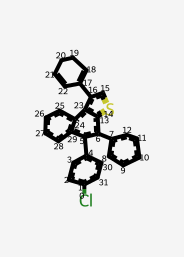 Clc1ccc(-c2c(-c3ccccc3)c3scc(C4=CCCC=C4)c3c3ccccc23)cc1